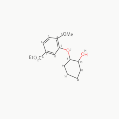 CCOC(=O)c1ccc(OC)c(OC2CCCCC2O)c1